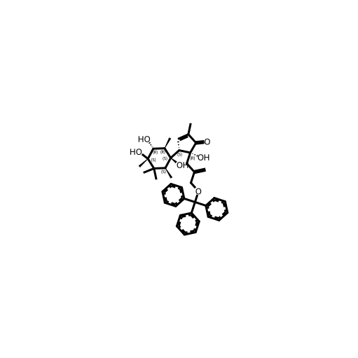 C=C(COC(c1ccccc1)(c1ccccc1)c1ccccc1)C[C@]1(O)C(=O)C(C)=C[C@H]1[C@@]1(O)[C@H](C)[C@@H](O)[C@@](C)(O)C(C)(C)[C@@H]1C